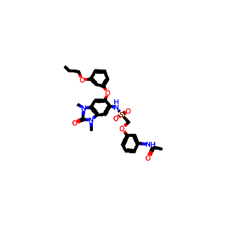 CCCOc1cccc(Oc2cc3c(cc2NS(=O)(=O)COc2cccc(NC(C)=O)c2)n(C)c(=O)n3C)c1